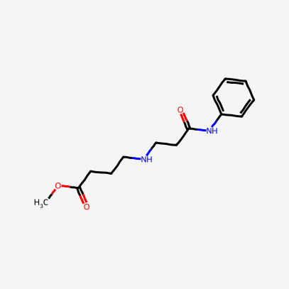 COC(=O)CCCNCCC(=O)Nc1ccccc1